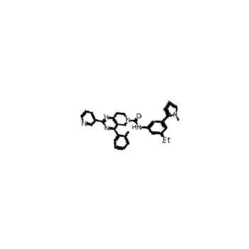 CCc1cc(NC(=O)N2CCc3nc(-c4cccnc4)nc(-c4ccccc4C)c3C2)cc(-c2cccn2C)c1